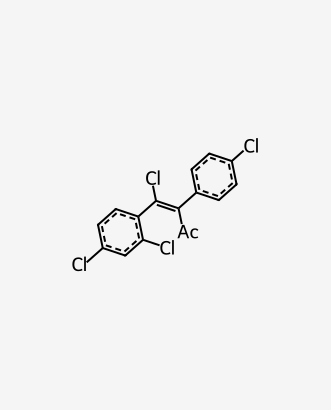 CC(=O)C(=C(Cl)c1ccc(Cl)cc1Cl)c1ccc(Cl)cc1